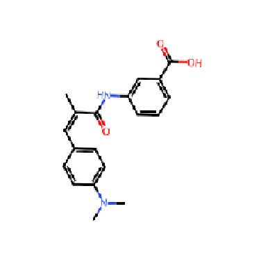 CC(=Cc1ccc(N(C)C)cc1)C(=O)Nc1cccc(C(=O)O)c1